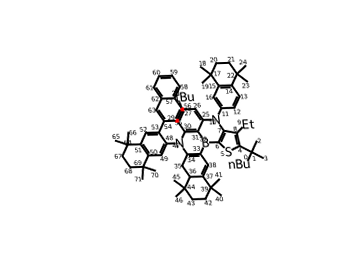 CCCCC(C)(C)c1sc2c(c1CC)N(c1ccc3c(c1)C(C)(C)CCC3(C)C)c1cc(C(C)(C)C)cc3c1B2C1=C(CC2C(=C1)C(C)(C)CCC2(C)C)N3c1cc2c(cc1-c1ccc3ccccc3c1)C(C)(C)CCC2(C)C